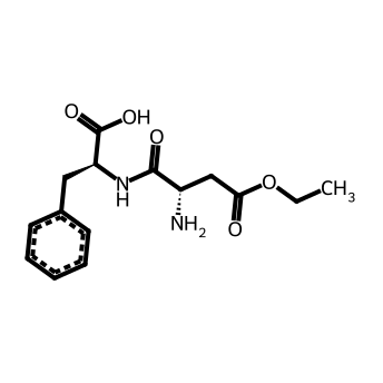 CCOC(=O)C[C@H](N)C(=O)N[C@@H](Cc1ccccc1)C(=O)O